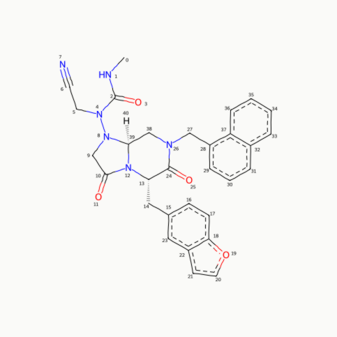 CNC(=O)N(CC#N)N1CC(=O)N2[C@@H](Cc3ccc4occc4c3)C(=O)N(Cc3cccc4ccccc34)C[C@@H]21